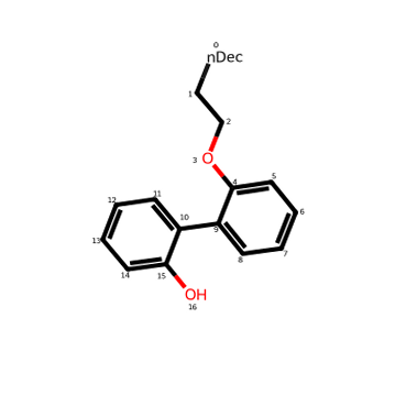 CCCCCCCCCCCCOc1ccccc1-c1ccccc1O